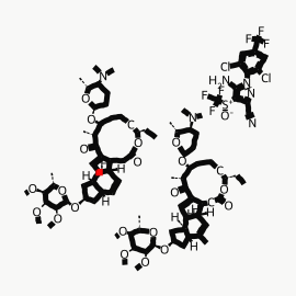 CC[C@H]1CCC[C@H](O[C@H]2CC[C@H](N(C)C)[C@@H](C)O2)[C@@H](C)C(=O)C2=C[C@@H]3[C@@H](C=C(C)[C@@H]4C[C@@H](O[C@@H]5O[C@@H](C)[C@H](OC)[C@@H](OC)[C@H]5OC)C[C@@H]34)[C@@H]2CC(=O)O1.CC[C@H]1CCC[C@H](O[C@H]2CC[C@H](N(C)C)[C@@H](C)O2)[C@@H](C)C(=O)C2=C[C@@H]3[C@@H](C=C[C@@H]4C[C@@H](O[C@@H]5O[C@@H](C)[C@H](OC)[C@@H](OC)[C@H]5OC)C[C@@H]34)[C@@H]2CC(=O)O1.N#Cc1nn(-c2c(Cl)cc(C(F)(F)F)cc2Cl)c(N)c1[S+]([O-])C(F)(F)F